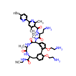 CCCCc1ccc(-c2cc(C)c(C(=O)NC(CCN)C(=O)N(C)C3C(=O)NC(C)C(=O)NC(C(=O)NCC#N)Cc4ccc(OCCN)c(c4)-c4cc3ccc4OCCN)c(C)n2)nc1